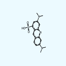 CN(C)c1ccc2cc3c(S(=O)(=O)O)cc(N(C)C)cc3nc2c1